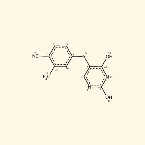 N#Cc1ccc(Sc2cnc(O)nc2O)cc1C(F)(F)F